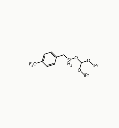 CC(C)OC(O[SiH2]Cc1ccc(C(F)(F)F)cc1)OC(C)C